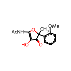 COc1ccccc1C1(C)OC(NC(C)=O)=C(O)C1=O